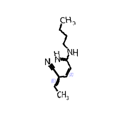 C/C=C(C#N)\C=C/C(=N)NCCCC